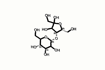 OCC1O[C@H](O[C@@H]2C(O)C(O)(CO)O[C@@H]2CO)C(O)[C@@H](O)[C@@H]1O